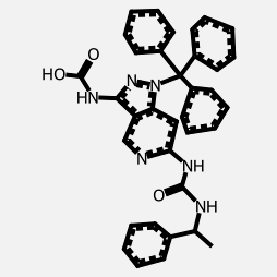 CC(NC(=O)Nc1cc2c(cn1)c(NC(=O)O)nn2C(c1ccccc1)(c1ccccc1)c1ccccc1)c1ccccc1